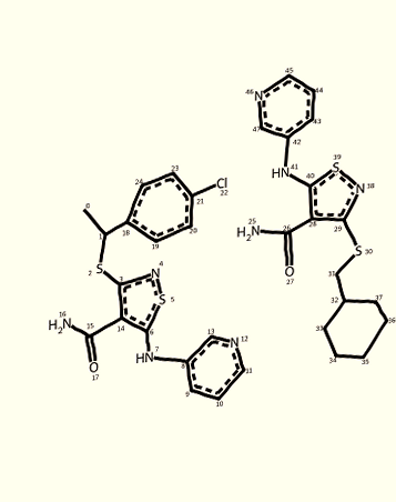 CC(Sc1nsc(Nc2cccnc2)c1C(N)=O)c1ccc(Cl)cc1.NC(=O)c1c(SCC2CCCCC2)nsc1Nc1cccnc1